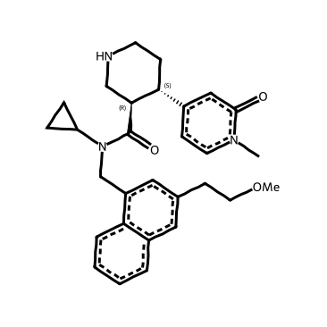 COCCc1cc(CN(C(=O)[C@H]2CNCC[C@@H]2c2ccn(C)c(=O)c2)C2CC2)c2ccccc2c1